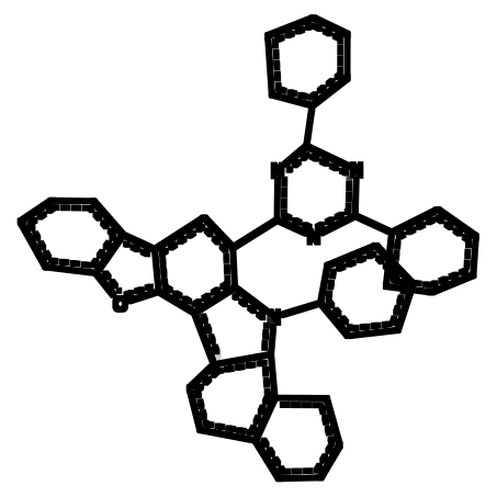 c1ccc(-c2nc(-c3ccccc3)nc(-c3cc4c5ccccc5oc4c4c5ccc6ccccc6c5n(-c5ccccc5)c34)n2)cc1